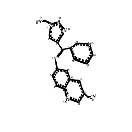 CC(C)n1cc(C(=Nc2ccc3ncc(C#N)cc3c2)c2cccnc2)nn1